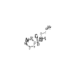 CC(C)CCNS(=O)(=O)c1cccnc1